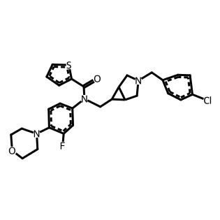 O=C(c1cccs1)N(CC1C2CN(Cc3ccc(Cl)cc3)CC21)c1ccc(N2CCOCC2)c(F)c1